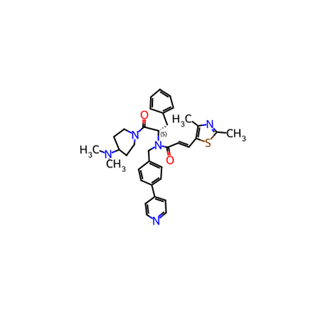 Cc1nc(C)c(C=CC(=O)N(Cc2ccc(-c3ccncc3)cc2)[C@@H](Cc2ccccc2)C(=O)N2CCC(N(C)C)CC2)s1